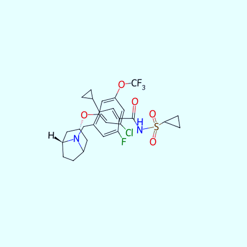 O=C(NS(=O)(=O)C1CC1)c1cc(C2CC2)c(CN2C3CC[C@@H]2C[C@H](Oc2cc(Cl)cc(OC(F)(F)F)c2)C3)cc1F